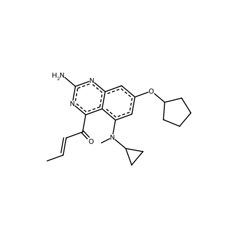 CC=CC(=O)c1nc(N)nc2cc(OC3CCCC3)cc(N(C)C3CC3)c12